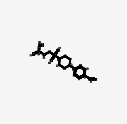 COc1ccc(N2CCN(S(=O)(=O)CO[PH](=O)O)CC2)cc1